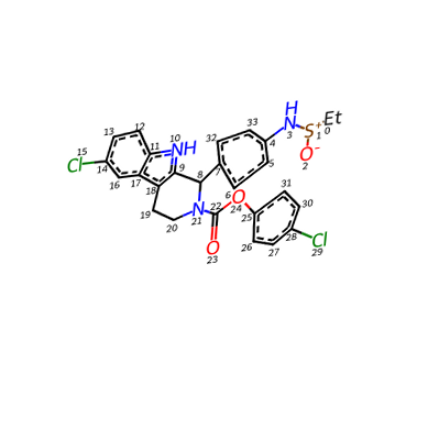 CC[S+]([O-])Nc1ccc(C2c3[nH]c4ccc(Cl)cc4c3CCN2C(=O)Oc2ccc(Cl)cc2)cc1